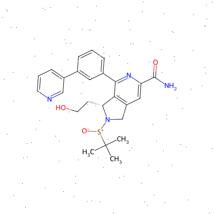 CC(C)(C)[S+]([O-])N1Cc2cc(C(N)=O)nc(-c3cccc(-c4cccnc4)c3)c2[C@H]1CCO